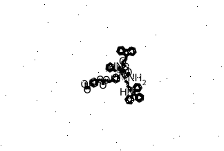 NC(=O)[C@H](CCCCNC(c1ccccc1)(c1ccccc1)c1ccccc1)N(C(=O)[C@H](Cc1ccccc1)NC(=O)OCC1c2ccccc2-c2ccccc21)c1ccc(COC(=O)Oc2ccc([N+](=O)[O-])cc2)cc1